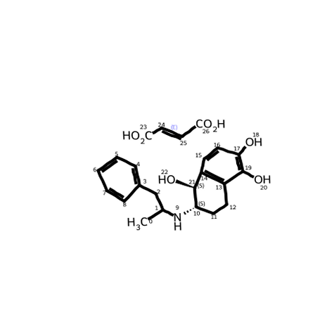 CC(Cc1ccccc1)N[C@H]1CCc2c(ccc(O)c2O)[C@@H]1O.O=C(O)/C=C/C(=O)O